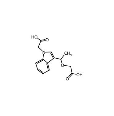 CC(OCC(=O)O)c1cn(CC(=O)O)c2ccccc12